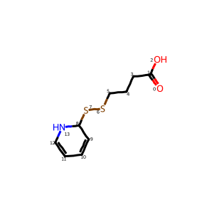 O=C(O)CCCSSC1C=CC=CN1